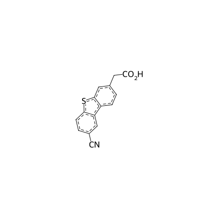 N#Cc1ccc2sc3cc(CC(=O)O)ccc3c2c1